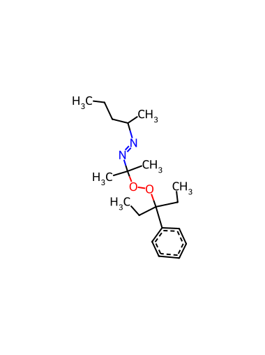 CCCC(C)N=NC(C)(C)OOC(CC)(CC)c1ccccc1